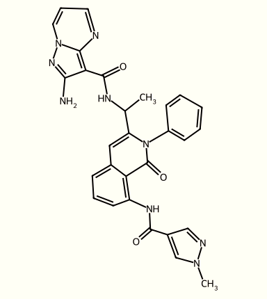 CC(NC(=O)c1c(N)nn2cccnc12)c1cc2cccc(NC(=O)c3cnn(C)c3)c2c(=O)n1-c1ccccc1